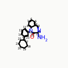 NC1N=Cc2ccccc2N(c2cccc(C3CCCCCC3)c2)C1=O